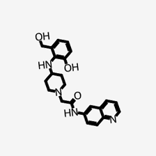 O=C(CN1CCC(Nc2c(O)cccc2CO)CC1)Nc1ccc2ncccc2c1